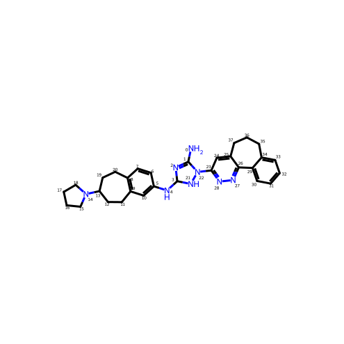 NC1=NC(Nc2ccc3c(c2)CCC(N2CCCC2)CC3)NN1c1cc2c(nn1)-c1ccccc1CCC2